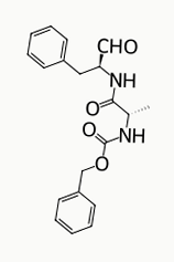 C[C@H](NC(=O)OCc1ccccc1)C(=O)N[C@H](C=O)Cc1ccccc1